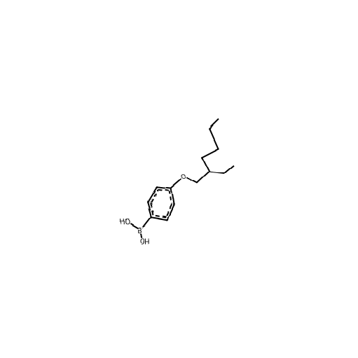 CCCCC(CC)COc1ccc(B(O)O)cc1